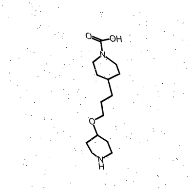 O=C(O)N1CCC(CCCOC2CCNCC2)CC1